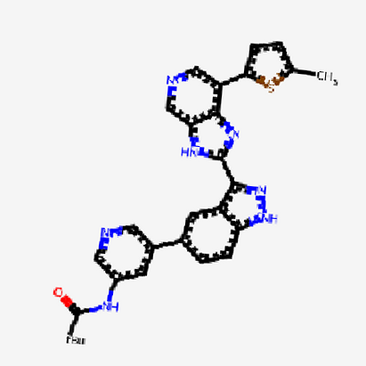 Cc1ccc(-c2cncc3[nH]c(-c4n[nH]c5ccc(-c6cncc(NC(=O)C(C)(C)C)c6)cc45)nc23)s1